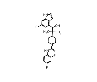 CC(C)(C1CCN(C(=O)Nc2ccc(F)cc2F)CC1)C(O)c1cc(Cl)cc2[nH]ncc12